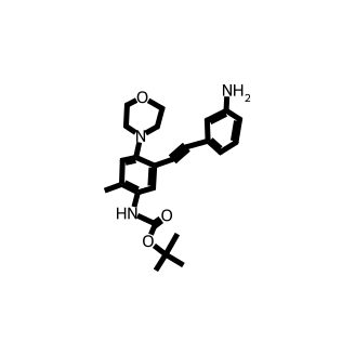 Cc1cc(N2CCOCC2)c(C#Cc2cccc(N)c2)cc1NC(=O)OC(C)(C)C